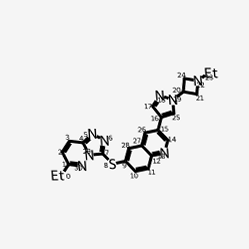 CCc1ccc2nnc(Sc3ccc4ncc(-c5cnn(C6CN(CC)C6)c5)cc4c3)n2n1